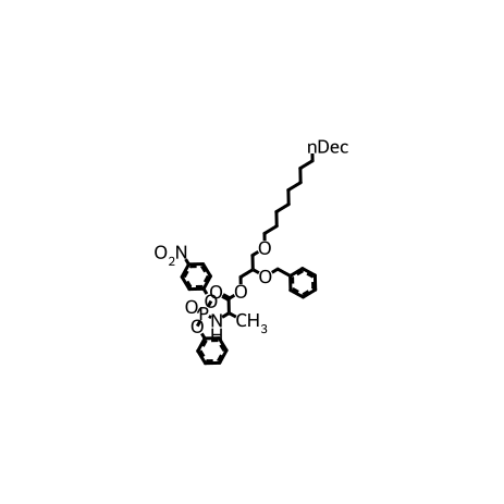 CCCCCCCCCCCCCCCCCCOCC(COC(=O)C(C)NP(=O)(Oc1ccccc1)Oc1ccc([N+](=O)[O-])cc1)OCc1ccccc1